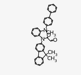 CN(c1ccc(-c2ccccc2)cc1)c1ccccc1N(C(=O)C=O)c1ccc2c(c1)C(C)(C)c1ccccc1-2